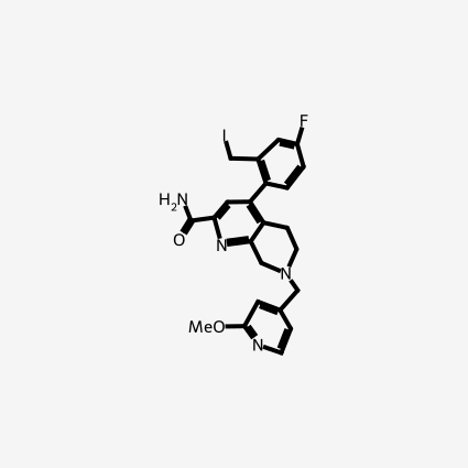 COc1cc(CN2CCc3c(-c4ccc(F)cc4CI)cc(C(N)=O)nc3C2)ccn1